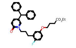 CCOC(=O)CCCOc1ccc(F)c(CCCn2cc(C(c3ccccc3)c3ccccc3)ccc2=O)c1